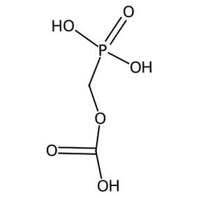 O=C(O)OCP(=O)(O)O